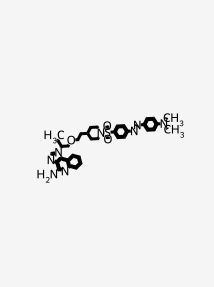 CCC(COCCC1CCN(S(=O)(=O)c2ccc(/N=N/c3ccc(N(C)C)cc3)cc2)CC1)n1cnc2c(N)nc3ccccc3c21